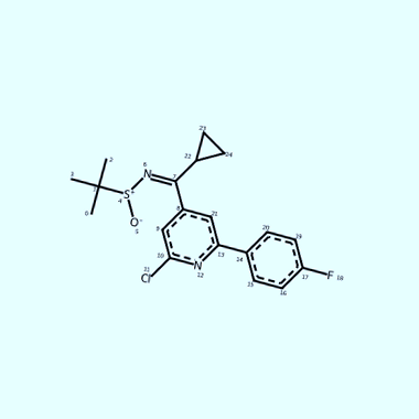 CC(C)(C)[S+]([O-])/N=C(\c1cc(Cl)nc(-c2ccc(F)cc2)c1)C1CC1